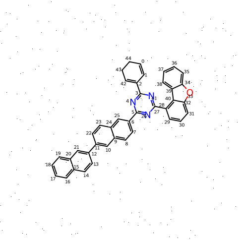 C1=CC(c2nc(-c3ccc4cc(-c5ccc6ccccc6c5)ccc4c3)nc(-c3cccc4oc5ccccc5c34)n2)=CCC1